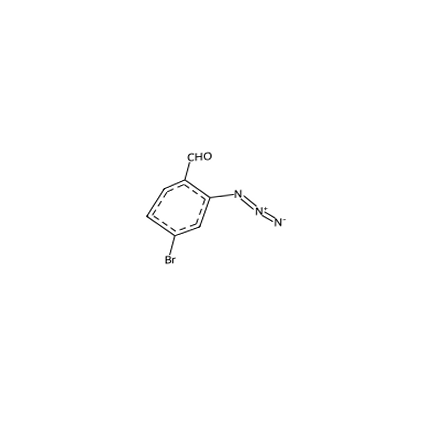 [N-]=[N+]=Nc1cc(Br)ccc1C=O